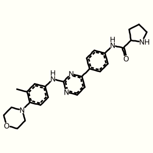 Cc1cc(Nc2nccc(-c3ccc(NC(=O)C4CCCN4)cc3)n2)ccc1N1CCOCC1